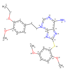 CCOc1cc(CCn2cnc(N)c3nc(Sc4cc(OC)ccc4OC)nc2-3)ccc1OC